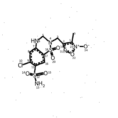 Cc1c(CN2CNc3cc(Cl)c(S(N)(=O)=O)cc3S2(=O)=O)no[n+]1[O-]